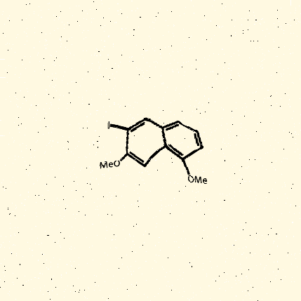 COc1cc2c(OC)cccc2cc1I